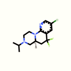 CC(C)N1CCN2c3ncc(Cl)cc3C(F)(F)C[C@H]2C1